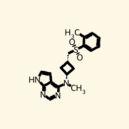 Cc1ccccc1S(=O)(=O)C[C@H]1C[C@@H](N(C)c2ncnc3[nH]ccc23)C1